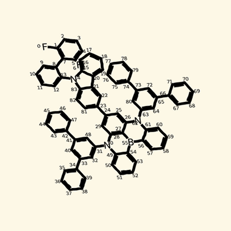 Fc1cccc(F)c1-c1ccccc1-n1c2ccccc2c2cc(-c3cc4c5c(c3)N(c3cc(-c6ccccc6)cc(-c6ccccc6)c3)c3ccccc3B5c3ccccc3N4c3cc(-c4ccccc4)cc(-c4ccccc4)c3)ccc21